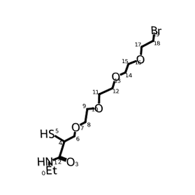 CCNC(=O)C(S)COCCOCCOCCOCCBr